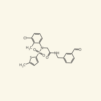 Cc1ccc(S(=O)(=O)N(CC(=O)NCc2cccc(C=O)c2)c2cccc(Cl)c2C)s1